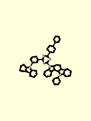 c1ccc(-c2ccc(-c3nc(-c4cccc(-n5c6ccccc6c6ccccc65)c4)nc(-n4c5ccccc5c5c4ccc4c6ccccc6n(-c6ccccc6)c45)n3)cc2)cc1